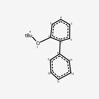 CC(C)(C)Oc1ccccc1-c1[c]cccc1